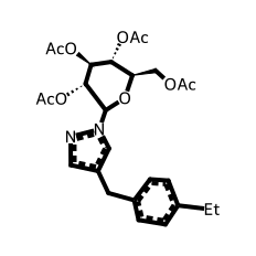 CCc1ccc(Cc2cnn(C3O[C@H](COC(C)=O)[C@@H](OC(C)=O)[C@H](OC(C)=O)[C@H]3OC(C)=O)c2)cc1